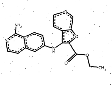 CCOC(=O)c1oc2cnccc2c1Nc1ccc2c(N)nccc2c1